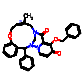 C/C1=C/COc2ccccc2C(c2ccccc2)N2CN(C1)C(=O)c1c(OCc3ccccc3)c(=O)ccn12